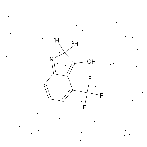 [2H]C1([2H])N=c2cccc(C(F)(F)F)c2=C1O